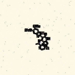 CCn1cc2[nH]c(=O)c(-c3nc4cc(OC)c(OC)cc4[nH]3)c(/N=C(/C)c3ncccn3)c2n1